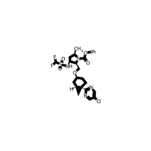 CC(C)OC(=O)N1[C@H](C)C[C@H](NS(=O)(=O)C(F)F)[C@@H]1CO[C@H]1CC[C@@]2(c3ncc(Cl)cn3)C[C@H]2C1